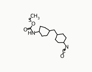 CSOC(=O)NC1CCC(CC2CCC(N=C=O)CC2)CC1